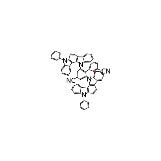 N#Cc1cccc(-c2c(-n3c4ccccc4c4ccc5c(c6ccccc6n5-c5ccccc5)c43)cc(C#N)cc2-n2c3ccccc3c3ccc4c(c5ccccc5n4-c4ccccc4)c32)c1